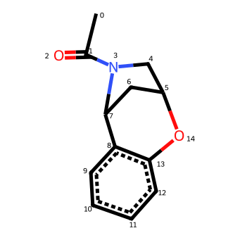 CC(=O)N1CC2CC1c1ccccc1O2